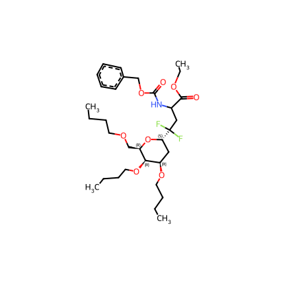 CCCCOC[C@H]1O[C@H](C(F)(F)CC(NC(=O)OCc2ccccc2)C(=O)OCC)C[C@@H](OCCCC)[C@H]1OCCCC